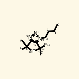 CCCCn1nnc(C(C)(C)C)c1C(F)(F)F